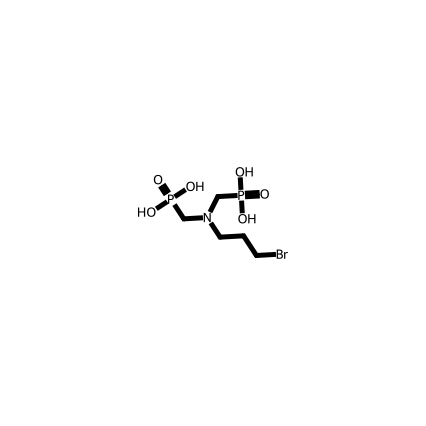 O=P(O)(O)CN(CCCBr)CP(=O)(O)O